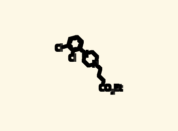 CCOC(=O)CCCN1CCN(c2cccc(Cl)c2Cl)CC1